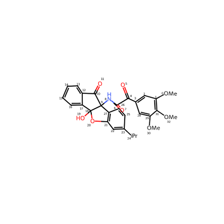 COc1cc(C(=O)C(=O)NC23C(=O)c4ccccc4C2(O)Oc2cc(C(C)C)ccc23)cc(OC)c1OC